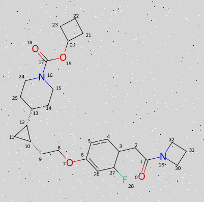 O=C(CC1C=CC(OCC[C@@H]2C[C@@H]2C2CCN(C(=O)OC3CCC3)CC2)=CC1F)N1CCC1